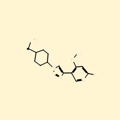 COC(=O)C1CCC(n2cc(-c3cnc(Br)cc3NC(C)C)nn2)CC1